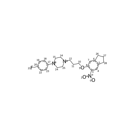 O=[N+]([O-])c1cc2c(cc1OCCCN1CCN(c3ccc(F)cc3)CC1)CCC2